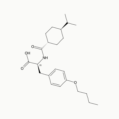 CCCCOc1ccc(C[C@H](NC(=O)[C@H]2CC[C@H](C(C)C)CC2)C(=O)O)cc1